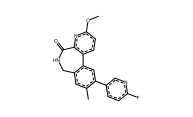 COc1ccc2c(n1)C(=O)NCc1cc(C)c(-c3ccc(F)nc3)cc1-2